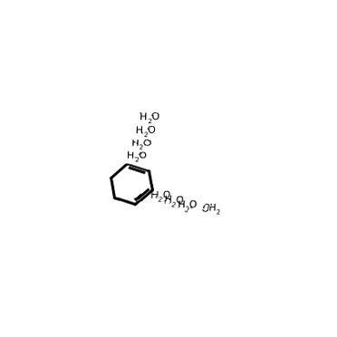 C1=CCCC=C1.O.O.O.O.O.O.O.O